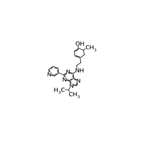 CC1CC(CCNc2nc(-c3cccnc3)nc3c2ncn3C(C)C)=CC=C1O